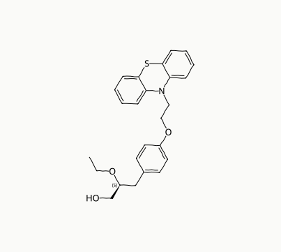 CCO[C@H](CO)Cc1ccc(OCCN2c3ccccc3Sc3ccccc32)cc1